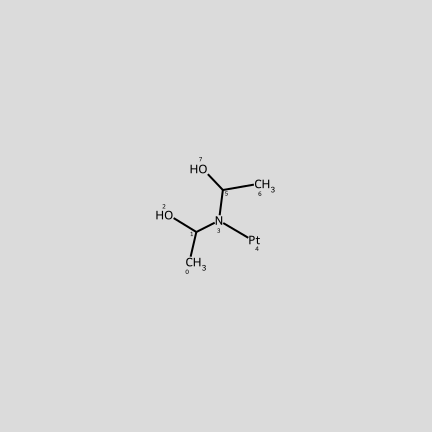 CC(O)[N]([Pt])C(C)O